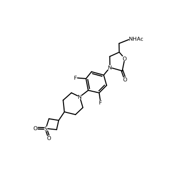 CC(=O)NCC1CN(c2cc(F)c(N3CCC(C4CS(=O)(=O)C4)CC3)c(F)c2)C(=O)O1